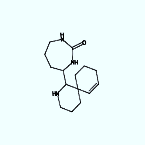 O=C1NCCCC(C2NCCCC23C=CCCC3)N1